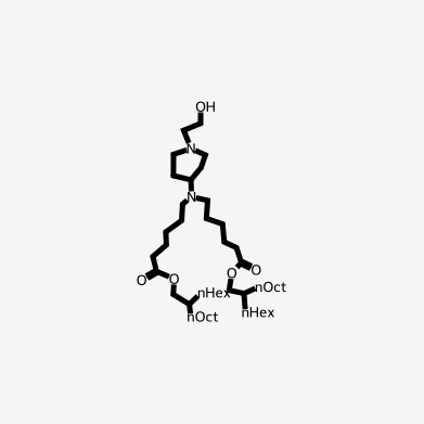 CCCCCCCCC(CCCCCC)COC(=O)CCCCCN(CCCCCC(=O)OCC(CCCCCC)CCCCCCCC)C1CCN(CCO)CC1